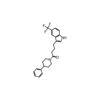 O=C(CCCc1c[nH]c2ccc(C(F)(F)F)cc12)N1CCC(c2ccccc2)CC1